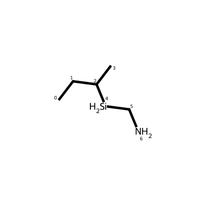 CCC(C)[SiH2]CN